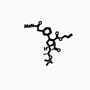 C=CCOC(=O)C1=C(c2cccc(CC(=O)NC)c2)C[C@@H]2[C@@H]([C@@H](C)O[Si](C)(C)C)C(=O)N12